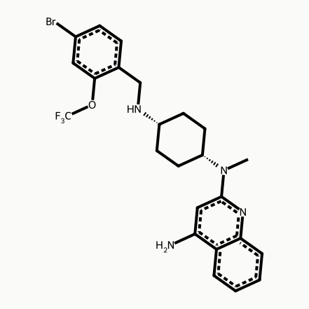 CN(c1cc(N)c2ccccc2n1)[C@H]1CC[C@@H](NCc2ccc(Br)cc2OC(F)(F)F)CC1